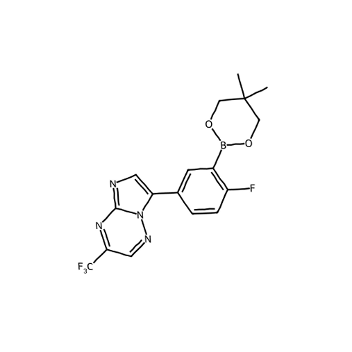 CC1(C)COB(c2cc(-c3cnc4nc(C(F)(F)F)cnn34)ccc2F)OC1